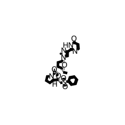 CC[C@H]1O[C@@H](n2cnc(-c3nccc(=O)[nH]3)c2)CC1O[P@@]1O[C@H](CS(=O)(=O)c2ccccc2)[C@@H]2CCCN21